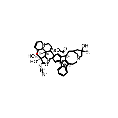 CCC1(O)CC2C[N@](CCc3c([nH]c4ccccc34)[C@@](C(=O)OC)(c3cc4c(cc3OC)N(C)C3[C@H]5C4CCN4CC=C[C@](CC)(C54)[C@@H](O)[C@]3(O)C(=O)N=[N+]=[N-])C2)C1